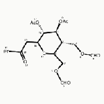 CC(=O)O[C@H]1[C@H](COC=O)C(COC=O)OC(CC(=O)C(C)C)[C@@H]1OC(C)=O